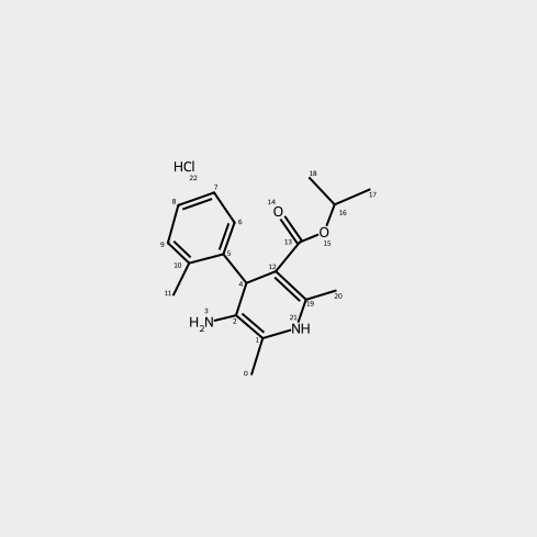 CC1=C(N)C(c2ccccc2C)C(C(=O)OC(C)C)=C(C)N1.Cl